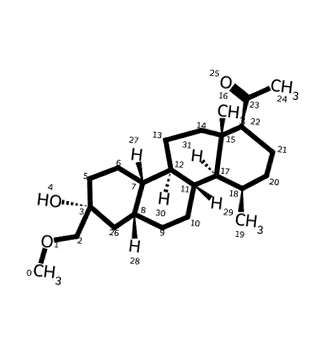 COC[C@@]1(O)CC[C@H]2[C@H](CC[C@@H]3[C@@H]2CC[C@@]2(C)[C@H]3[C@H](C)CC[C@@H]2C(C)=O)C1